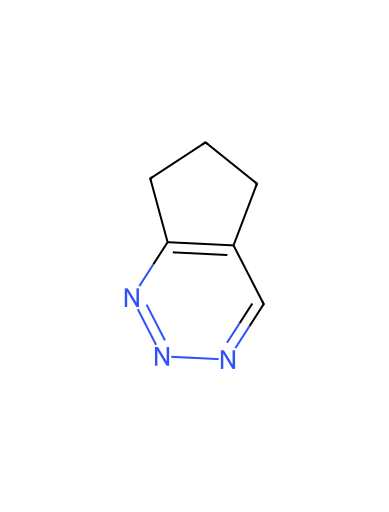 c1nnnc2c1CCC2